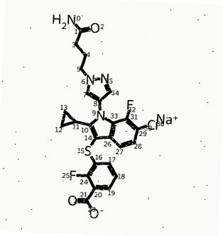 NC(=O)CCCn1cc(-n2c(C3CC3)c(Sc3cccc(C(=O)[O-])c3F)c3ccc(Cl)c(F)c32)cn1.[Na+]